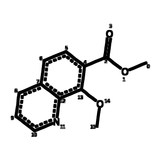 COC(=O)c1ccc2cccnc2c1OC